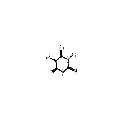 N#CC1C(=N)[NH+]([O-])C(=N)NC1=O